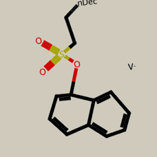 CCCCCCCCCCCCS(=O)(=O)Oc1cccc2ccccc12.[V]